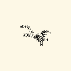 CCCCCCCCCCCCCCCCO[C@H](COCc1ccccc1)COP(=O)(O)OC[C@@]1(/C=N\C)O[C@@H](c2ccc3c(N)ncnn23)[C@H](O)[C@@H]1O